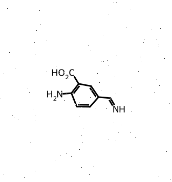 N=Cc1ccc(N)c(C(=O)O)c1